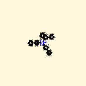 c1ccc(-c2ccc(-c3nc(-c4ccc(-c5ccccc5)cc4)nc(-c4cc(-c5ccccc5)cc5ccccc45)n3)cc2)cc1